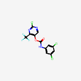 O=C(Nc1cc(Cl)cc(Cl)c1)Oc1cnc(Cl)nc1C(F)(F)F